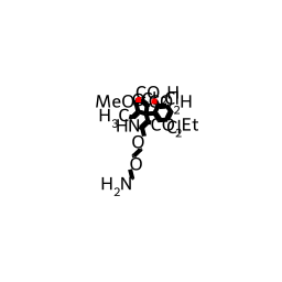 CCOC(=O)C1=C(COCCOCCN)NC(C)=C(C(=O)OC)C1(/C(=C/C(=O)O)C(=O)O)c1cc(Cl)cc(Cl)c1Cl